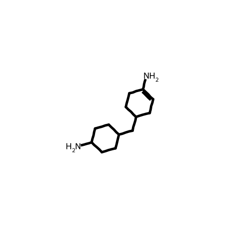 NC1=CCC(CC2CCC(N)CC2)CC1